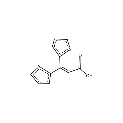 O=C(O)C=C(c1cccs1)c1cccs1